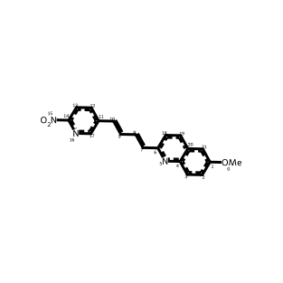 COc1ccc2nc(/C=C/C=C/c3ccc([N+](=O)[O-])nc3)ccc2c1